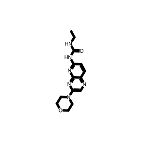 CCNC(=O)Nc1ccc2ncc(N3CCOCC3)nc2n1